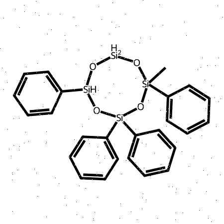 C[Si]1(c2ccccc2)O[SiH2]O[SiH](c2ccccc2)O[Si](c2ccccc2)(c2ccccc2)O1